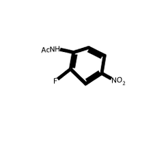 CC(=O)Nc1ccc([N+](=O)[O-])cc1F